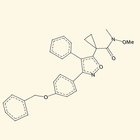 CON(C)C(=O)C1(c2onc(-c3ccc(OCc4ccccc4)cc3)c2-c2ccccc2)CC1